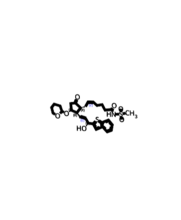 CS(=O)(=O)NC(=O)CCC/C=C\C[C@H]1C(=O)C[C@@H](OC2CCCCO2)[C@@H]1/C=C/[C@@H](O)c1cc2ccccc2s1